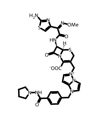 CO/N=C(\C(=O)N[C@@H]1C(=O)N2C(C(=O)[O-])=C(C[n+]3ccc4n(Cc5ccc(C(=O)NN6CCCC6)cc5)ccn43)CS[C@H]12)c1csc(N)n1